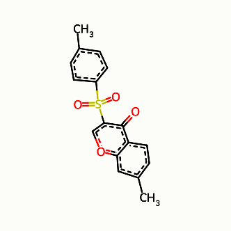 Cc1ccc(S(=O)(=O)c2coc3cc(C)ccc3c2=O)cc1